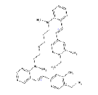 CCN1CC=C(/C=C/c2ccccc2N(C)CCSSCCN(C)c2ccccc2/C=C/c2cc[n+](CC)c(C)c2)C=C1C